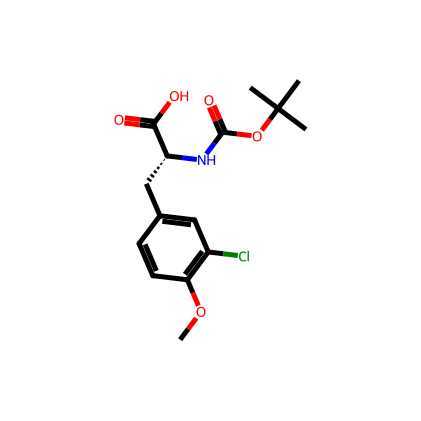 COc1ccc(C[C@@H](NC(=O)OC(C)(C)C)C(=O)O)cc1Cl